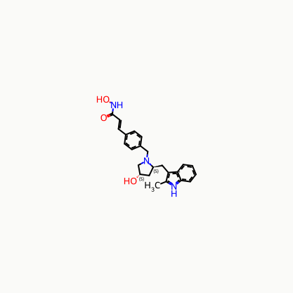 Cc1[nH]c2ccccc2c1C[C@H]1C[C@H](O)CN1Cc1ccc(C=CC(=O)NO)cc1